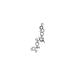 C=C/N=C(\C(C)=C(/N)C(=O)N1CCC(N[C@H]2CCOC[C@H]2OC)CC1)N1CCC2(CCc3cc(Cl)ccc3O2)CC1